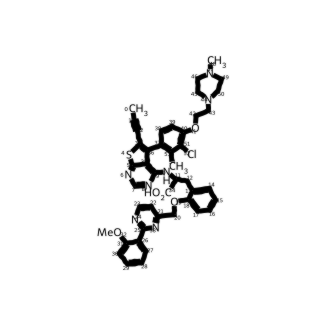 CC#Cc1sc2ncnc(NC(Cc3ccccc3OCc3ccnc(-c4ccccc4OC)n3)C(=O)O)c2c1-c1ccc(OCCN2CCN(C)CC2)c(Cl)c1C